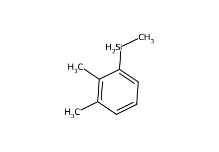 C[SiH2]c1cccc(C)c1C